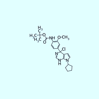 COc1cc(C2(Cl)N=CNc3c2ccn3C2CCCC2)ccc1NC(=O)OC(C)(C)C